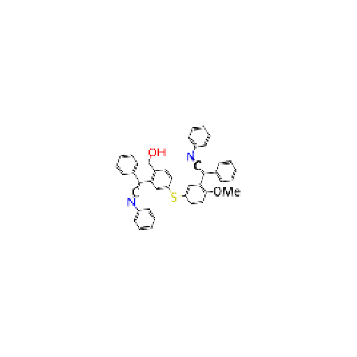 COc1ccc(Sc2ccc(CO)c(C(=C=Nc3ccccc3)c3ccccc3)c2)cc1C(=C=Nc1ccccc1)c1ccccc1